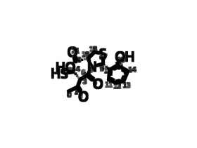 CC(=O)[C@H](CS)C(=O)N1[C@@H](c2ccccc2O)SC[C@H]1C(=O)O